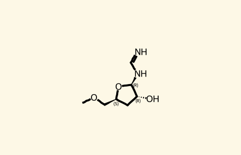 COC[C@@H]1C[C@@H](O)[C@H](NC=N)O1